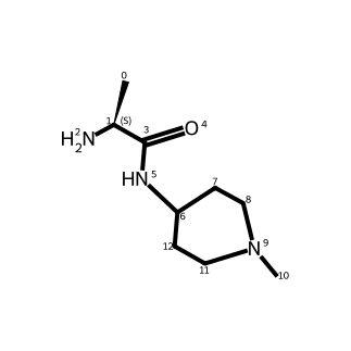 C[C@H](N)C(=O)NC1CCN(C)CC1